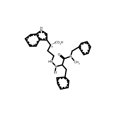 CCN(NCC[C@@H](C(=O)O)c1c[nH]c2ccccc12)C(Cc1ccccc1)C(=O)N(C)Cc1ccccc1